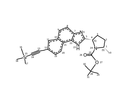 C[C@H]1CC[C@@H](c2nc3ccc4cc(C#C[Si](C)(C)C)ccc4c3[nH]2)N1C(=O)OC(C)(C)C